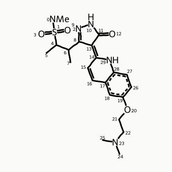 CNS(=O)(=O)C(C)C(C)C1=NNC(=O)/C1=C1/C=Cc2cc(OCCN(C)C)ccc2N1